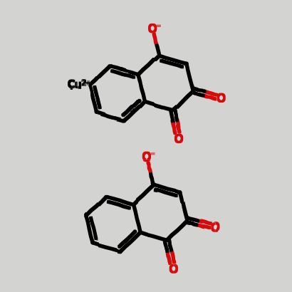 O=C1C=C([O-])c2ccccc2C1=O.O=C1C=C([O-])c2ccccc2C1=O.[Cu+2]